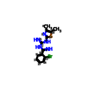 Cc1nc(NC(=N)NC(=N)c2ccccc2Br)sc1C